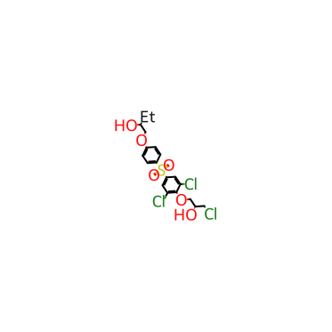 CC[C@H](O)COc1ccc(S(=O)(=O)c2cc(Cl)c(OC[C@@H](O)CCl)c(Cl)c2)cc1